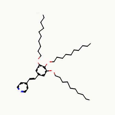 CCCCCCCCCCOc1cc(/C=C/c2ccncc2)cc(OCCCCCCCCCC)c1OCCCCCCCCCC